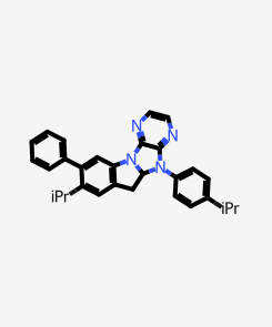 CC(C)c1ccc(N2c3nccnc3N3c4cc(-c5ccccc5)c(C(C)C)cc4CC23)cc1